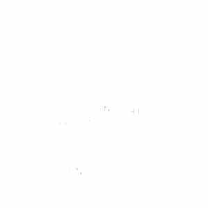 CC(O)CN(O)C(=O)CN